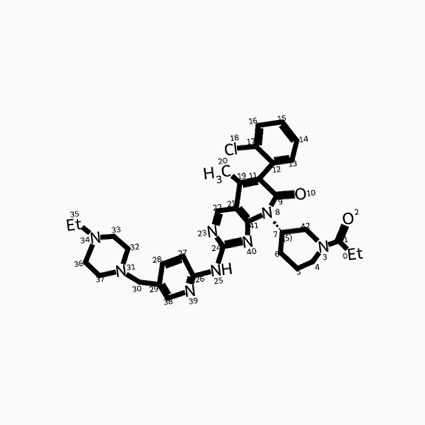 CCC(=O)N1CCC[C@H](n2c(=O)c(-c3ccccc3Cl)c(C)c3cnc(Nc4ccc(CN5CCN(CC)CC5)cn4)nc32)C1